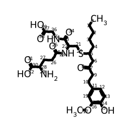 CCCCCC(CC(=O)CCc1ccc(O)c(OC)c1)SCC(NC(=O)CCC(N)C(=O)O)C(=O)NCC(=O)O